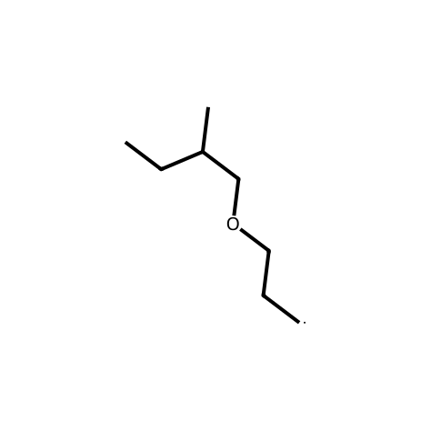 [CH2]CCOCC(C)CC